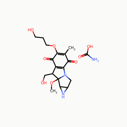 COC12C(CO)C3=C(C(=O)C(C)=C(OCCCO)C3=O)N1CC1NC12.NC(=O)O